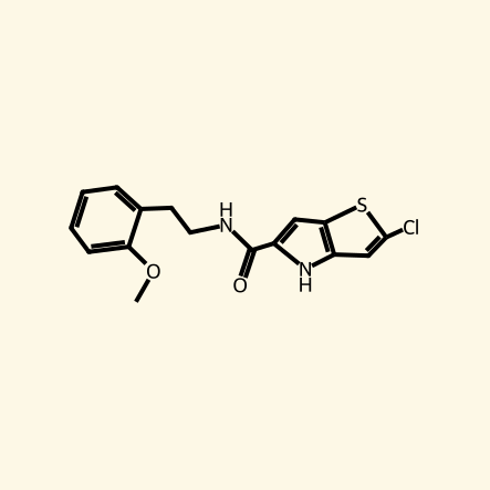 COc1ccccc1CCNC(=O)c1cc2sc(Cl)cc2[nH]1